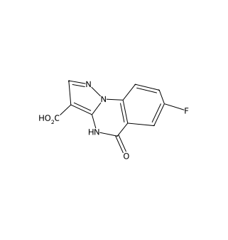 O=C(O)c1cnn2c1[nH]c(=O)c1cc(F)ccc12